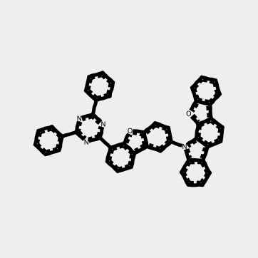 c1ccc(-c2nc(-c3ccccc3)nc(-c3cccc4c3oc3ccc(-n5c6ccccc6c6ccc7c8ccccc8oc7c65)cc34)n2)cc1